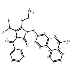 CCCc1c(C(F)F)n(C(=O)c2ccccc2)c(=O)n1Cc1ccc(-c2ccccc2C(=O)O)cc1